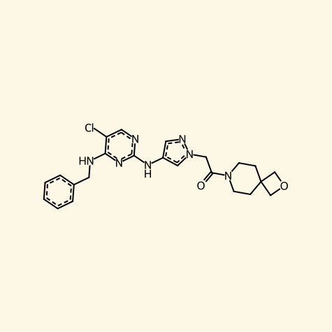 O=C(Cn1cc(Nc2ncc(Cl)c(NCc3ccccc3)n2)cn1)N1CCC2(CC1)COC2